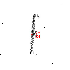 CCCCCCCCCCCCCCCCCCOCCCCCCCCCCCCCCCCCC.Oc1cccc(O)c1